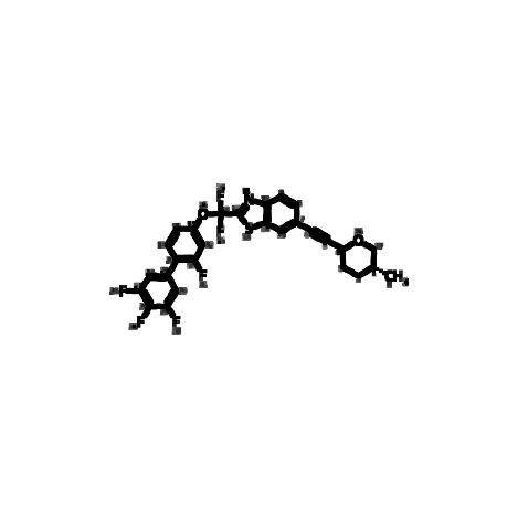 C[C@@H]1CCC(C#Cc2ccc3nc(C(F)(F)Oc4ccc(-c5cc(F)c(F)c(F)c5)c(F)c4)sc3c2)OC1